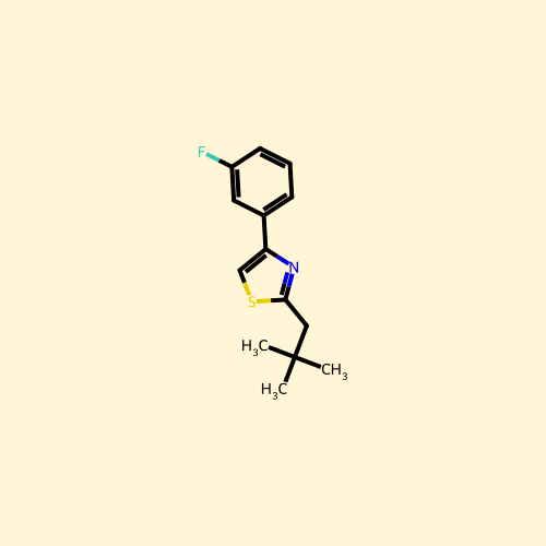 CC(C)(C)Cc1nc(-c2cccc(F)c2)cs1